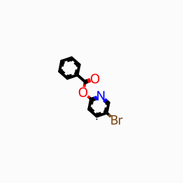 O=C(Oc1c[c]c(Br)cn1)c1ccccc1